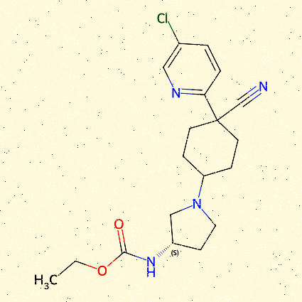 CCOC(=O)N[C@H]1CCN(C2CCC(C#N)(c3ccc(Cl)cn3)CC2)C1